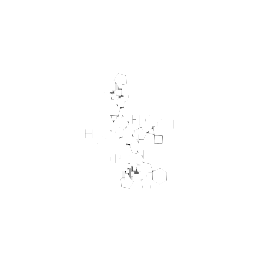 C=C[C@@H]1C[C@]1(NC(=O)[C@@H]1C[C@@]2(CN1C(=O)[C@@H](NC(=O)CC1([AsH]C(=O)[C@@H]3CCCN3C(C)=O)CCCCC1)C(C)(C)C)C(C)(C)C21CCC1)C(=O)NS(=O)(=O)N1CCCC1